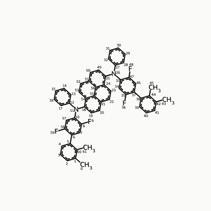 Cc1cccc(-c2cc(F)c(N(c3ccccc3)c3ccc4ccc5c(N(c6ccccc6)c6cc(F)c(-c7cccc(C)c7C)cc6F)ccc6ccc3c4c65)cc2F)c1C